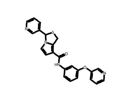 O=C(Nc1cccc(Oc2cccnc2)c1)c1ccn2c1CSC2c1cccnc1